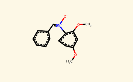 COc1ccc(/[N+]([O-])=C\c2ccccc2)c(OC)c1